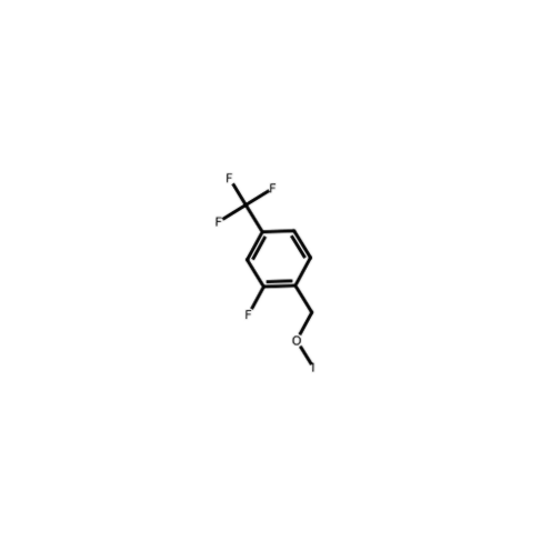 Fc1cc(C(F)(F)F)ccc1COI